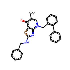 O=C(O)c1cn(Cc2ccccc2-c2ccccc2)c2nc(NCc3ccccc3)sc2c1=O